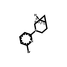 CCOC(=O)[C@@]12CCN(c3cccc(Br)n3)C[C@@H]1C2